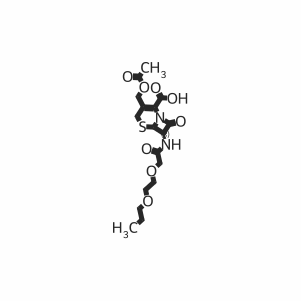 CCCOCCOCC(=O)N[C@@H]1C(=O)N2C(C(=O)O)=C(COC(C)=O)CSC12